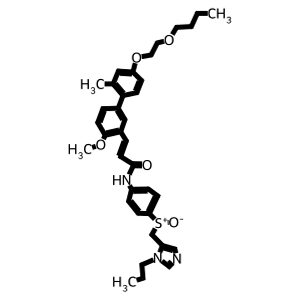 CCCCOCCOc1ccc(-c2ccc(OC)c(/C=C/C(=O)Nc3ccc([S+]([O-])Cc4cncn4CCC)cc3)c2)c(C)c1